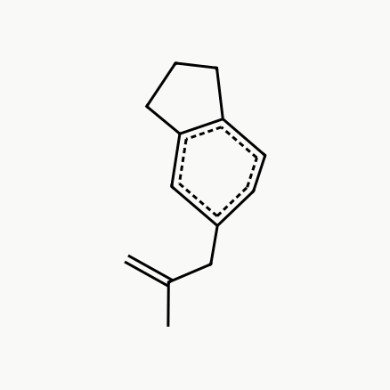 C=C(C)Cc1ccc2c(c1)CCC2